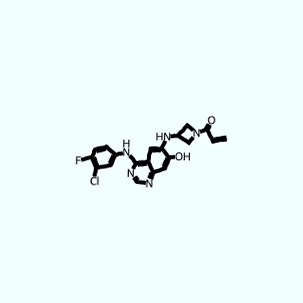 C=CC(=O)N1CC(Nc2cc3c(Nc4ccc(F)c(Cl)c4)ncnc3cc2O)C1